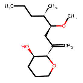 C=C(C[C@H](OC)[C@@H](C)CCC)[C@@H]1OCCC[C@H]1O